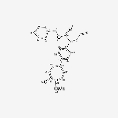 C=CCN(C(=O)OCc1ccccc1)c1ccc(-c2ccc(OC)c(=O)cc2)cc1